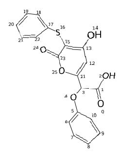 O=C(O)C(Oc1ccccc1)c1cc(O)c(Sc2ccccc2)c(=O)o1